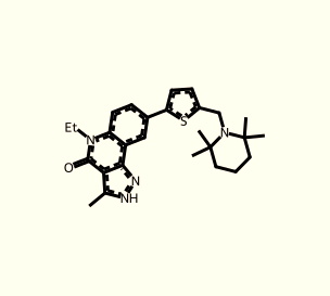 CCn1c(=O)c2c(C)[nH]nc2c2cc(-c3ccc(CN4C(C)(C)CCCC4(C)C)s3)ccc21